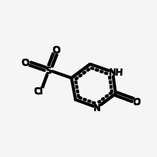 O=c1ncc(S(=O)(=O)Cl)c[nH]1